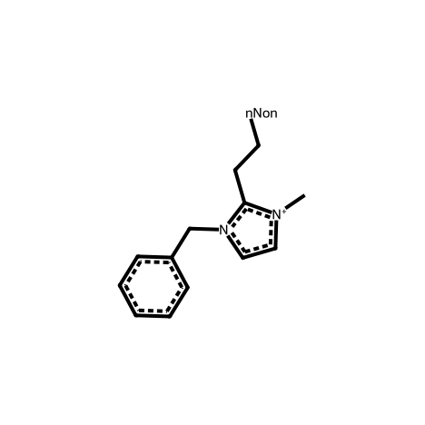 CCCCCCCCCCCc1n(Cc2ccccc2)cc[n+]1C